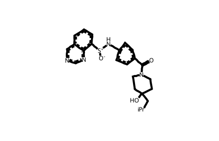 CC(C)CC1(O)CCN(C(=O)c2ccc(N[S+]([O-])c3cccc4cncnc34)cc2)CC1